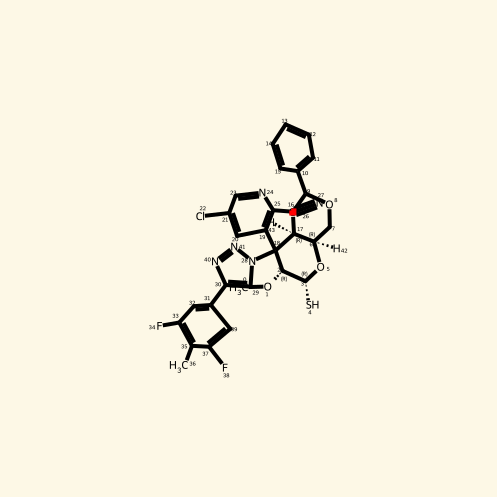 CO[C@H]1[C@@H](S)O[C@@H]2COC(c3ccccc3)O[C@@H]2C1(c1cc(Cl)cnc1C#N)n1cc(-c2cc(F)c(C)c(F)c2)nn1